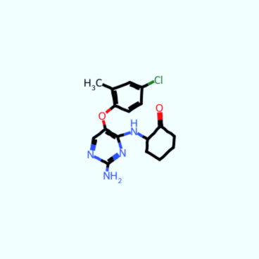 Cc1cc(Cl)ccc1Oc1cnc(N)nc1NC1CCCCC1=O